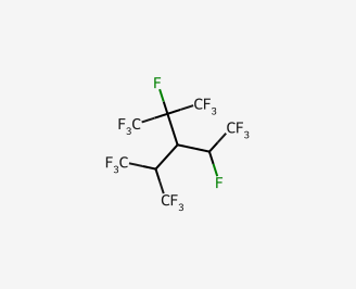 FC(C(C(C(F)(F)F)C(F)(F)F)C(F)(C(F)(F)F)C(F)(F)F)C(F)(F)F